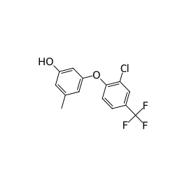 Cc1cc(O)cc(Oc2ccc(C(F)(F)F)cc2Cl)c1